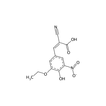 CCOc1cc(C=C(C#N)C(=O)O)cc([N+](=O)[O-])c1O